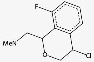 CNCC1OCC(Cl)c2cccc(F)c21